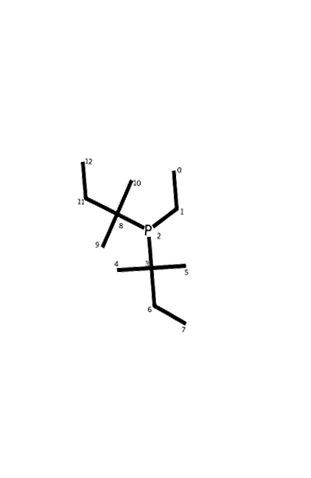 CCP(C(C)(C)CC)C(C)(C)CC